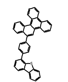 c1ccc2c(c1)sc1c(-c3ccc(-c4cc5c6ccccc6c6ccccc6c5c5ccccc45)cc3)cccc12